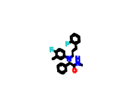 CNC(=O)[C@H](c1ccccc1)N(CCCc1ccccc1F)c1ccc(F)c(C)c1